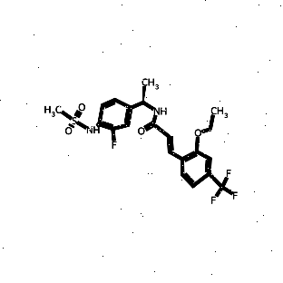 CCOc1cc(C(F)(F)F)ccc1C=CC(=O)N[C@H](C)c1ccc(NS(C)(=O)=O)c(F)c1